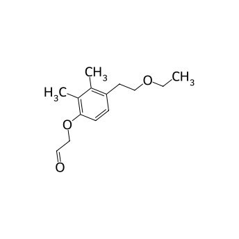 CCOCCc1ccc(OCC=O)c(C)c1C